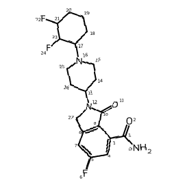 NC(=O)c1cc(F)cc2c1C(=O)N(C1CCN(C3CCCC(F)C3F)CC1)C2